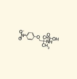 CC(C)(COc1ccc([N+](=O)[O-])cc1)NC(=O)O